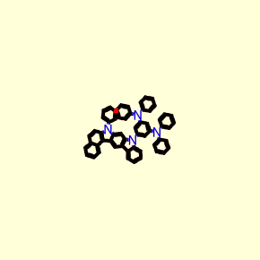 c1ccc(N(c2ccccc2)c2cc(N(c3ccccc3)c3ccccc3)cc(-n3c4ccccc4c4cc5c6c7ccccc7ccc6n(-c6ccccc6)c5cc43)c2)cc1